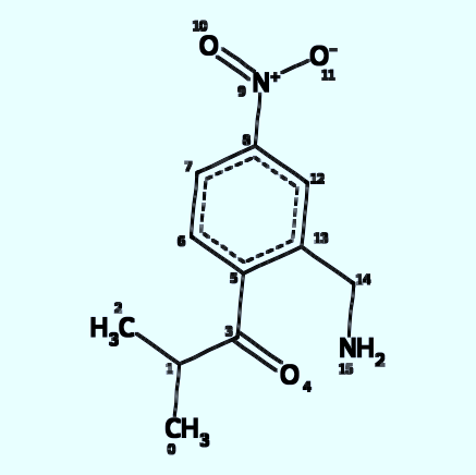 CC(C)C(=O)c1ccc([N+](=O)[O-])cc1CN